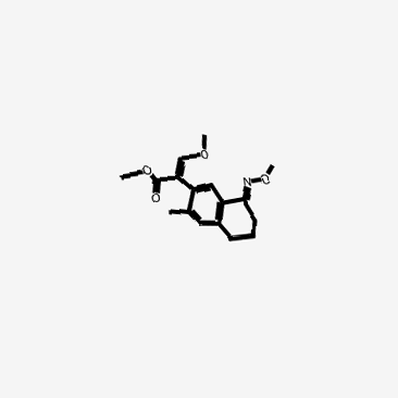 CO/C=C(/C(=O)OC)c1cc2c(cc1C)CCC/C2=N\OC